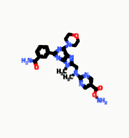 CN(Cc1nc2c(N3CCOCC3)nc(-c3cccc(C(N)=O)c3)nc2n1C)c1ncc(C(=O)ON)cn1